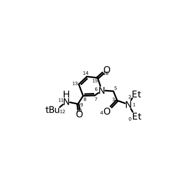 CCN(CC)C(=O)Cn1cc(C(=O)NC(C)(C)C)ccc1=O